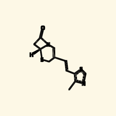 Cc1ncsc1C=CC1=CN2C(=O)C[C@H]2SC1